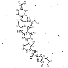 C=CC(=O)Nc1cc(Nc2cc(-c3cccc(NC(=O)c4cc5c(s4)CCCC5)c3C)cn(C)c2=O)ccc1N1CCN(C(C)=O)CC1